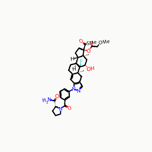 COCC(=O)O[C@]1(C(=O)SC)CC[C@H]2[C@@H]3CCC4=Cc5c(cnn5-c5cccc(C(=O)N6CCC[C@@H]6C(N)=O)c5)C[C@]4(C)[C@@]3(F)[C@@H](O)C[C@@]21C